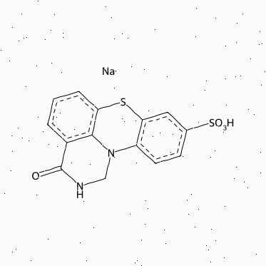 O=C1NCN2c3ccc(S(=O)(=O)O)cc3Sc3cccc1c32.[Na]